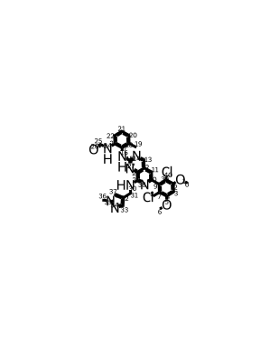 COc1cc(OC)c(Cl)c(-c2cc3cnc(Nc4c(C)cccc4NC=O)nc3c(NCc3cnn(C)c3)n2)c1Cl